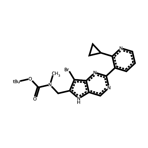 CN(Cc1[nH]c2cnc(-c3cccnc3C3CC3)nc2c1Br)C(=O)OC(C)(C)C